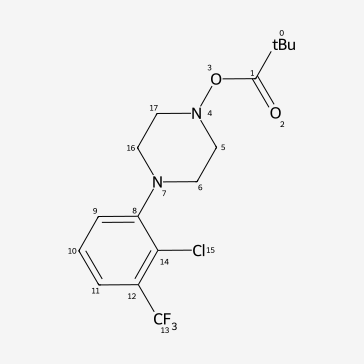 CC(C)(C)C(=O)ON1CCN(c2cccc(C(F)(F)F)c2Cl)CC1